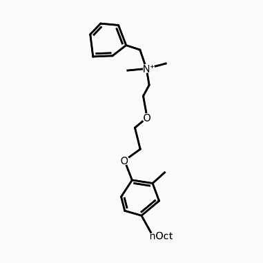 CCCCCCCCc1ccc(OCCOCC[N+](C)(C)Cc2ccccc2)c(C)c1